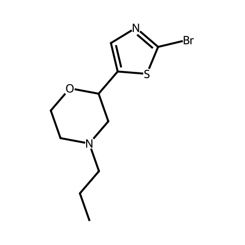 CCCN1CCOC(c2cnc(Br)s2)C1